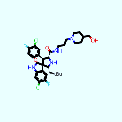 CC(C)(C)C[C@H]1N[C@@H](C(=O)NCCCN2CCC(CO)CC2)[C@H](c2ccc(F)c(Cl)c2)[C@@]12C(=O)Nc1cc(Cl)c(F)cc12